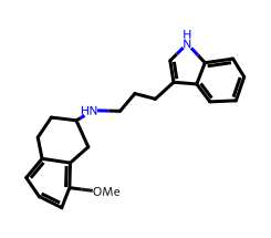 COc1cccc2c1CC(NCCCc1c[nH]c3ccccc13)CC2